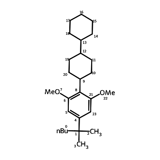 CCCCC(C)(C)c1cc(OC)c(C2CCC(C3CCCCC3)CC2)c(OC)c1